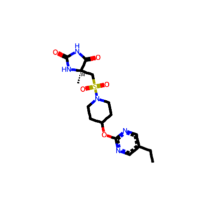 CCc1cnc(OC2CCN(S(=O)(=O)C[C@@]3(C)NC(=O)NC3=O)CC2)nc1